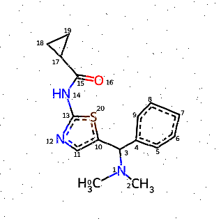 CN(C)C(c1ccccc1)c1cnc(NC(=O)C2CC2)s1